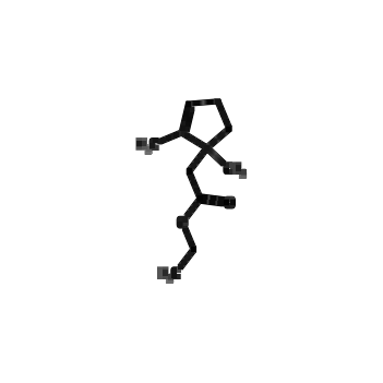 CCOC(=O)CC1(C)CCC=C1C